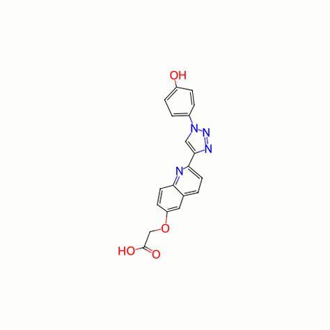 O=C(O)COc1ccc2nc(-c3cn(-c4ccc(O)cc4)nn3)ccc2c1